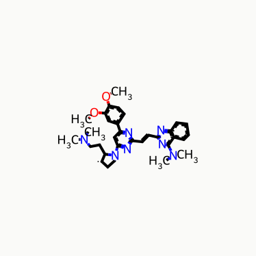 COc1ccc(-c2cc(N3CC[CH]C3CCN(C)C)nc(/C=C/c3nc(N(C)C)c4ccccc4n3)n2)cc1OC